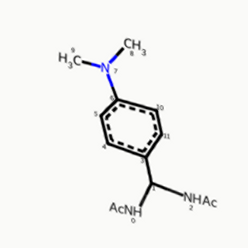 CC(=O)NC(NC(C)=O)c1ccc(N(C)C)cc1